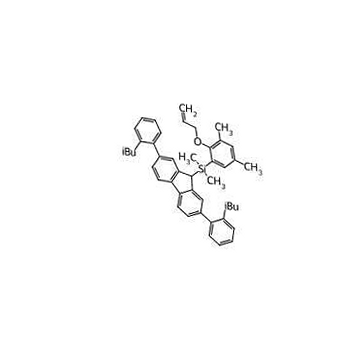 C=CCOc1c(C)cc(C)cc1[Si](C)(C)C1c2cc(-c3ccccc3C(C)CC)ccc2-c2ccc(-c3ccccc3C(C)CC)cc21